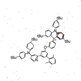 Cc1cccc(C)c1-c1cc(Oc2cccc([C@H](c3ccccn3)c3cc(C(C)(C)C)ccc3N(c3ccc(C(C)(C)C)cc3)c3ccc(C(C)(C)C)cc3)c2)cc(-c2cc(N(C3=CCC(C(C)(C)C)C=C3)c3ccc(C(C)(C)C)cc3)ccn2)c1